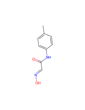 Cc1ccc(NC(=O)C=NO)cc1